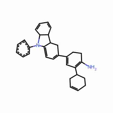 NC1=C(C2CC=CCC2)C=C(C2=CC=C3C(C2)C2C=CC=CC2N3c2ccccc2)CC1